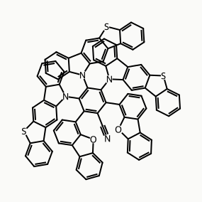 N#Cc1c(-c2cccc3c2oc2ccccc23)c(-n2c3ccccc3c3cc4sc5ccccc5c4cc32)c(-n2c3ccccc3c3cc4sc5ccccc5c4cc32)c(-n2c3ccccc3c3cc4sc5ccccc5c4cc32)c1-c1cccc2c1oc1ccccc12